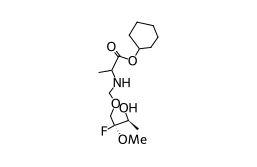 CO[C@](F)(COCNC(C)C(=O)OC1CCCCC1)[C@H](C)O